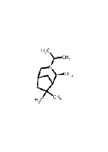 CC(C)N1CC2CC([C@@H]1C)C(C)(C)C2